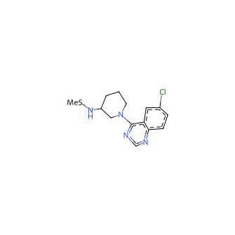 CSNC1CCCN(c2ncnc3ccc(Cl)cc23)C1